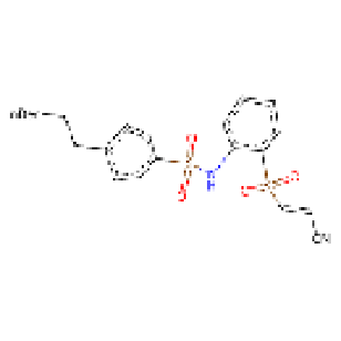 CCCCCCCCCCCCc1ccc(S(=O)(=O)Nc2ccccc2S(=O)(=O)C=CC#N)cc1